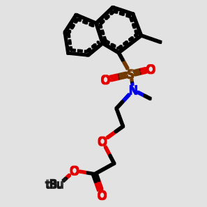 Cc1ccc2ccccc2c1S(=O)(=O)N(C)CCOCC(=O)OC(C)(C)C